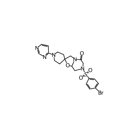 O=C1CN(S(=O)(=O)c2ccc(Br)cc2)CC2OC3(CCN(c4ccncn4)CC3)CN12